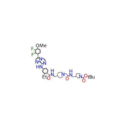 CCc1cc(Nc2nccn3c(-c4ccc(OC)c(F)c4F)cnc23)ccc1C(=O)NCC1CCN(CC(=O)NCC2CCN(C(=O)OC(C)(C)C)C2)CC1